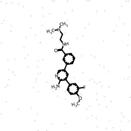 COc1ccc(-c2cc(-c3cccc(C(=O)NCCN(C)C)c3)cnc2N)cc1F